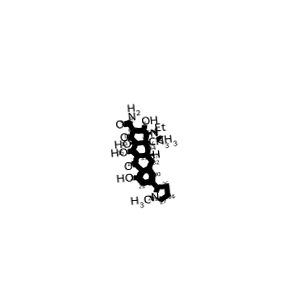 CCN(C)[C@@H]1C(O)=C(C(N)=O)C(=O)[C@@]2(O)C(O)=C3C(=O)c4c(O)cc(C5CCCN5C)cc4C[C@H]3C[C@@]12C